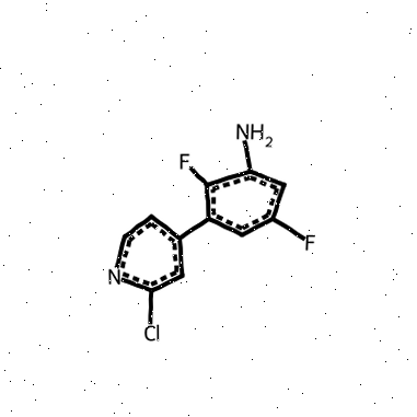 Nc1cc(F)cc(-c2ccnc(Cl)c2)c1F